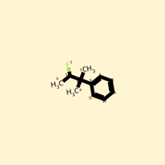 CC(F)C(C)(C)c1ccccc1